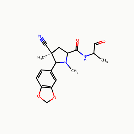 CC(C=O)NC(=O)C1C[C@](C)(C#N)C(c2ccc3c(c2)OCO3)N1C